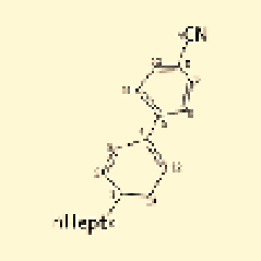 CCCCCCCC1C=CC(c2ccc(C#N)cc2)=CC1